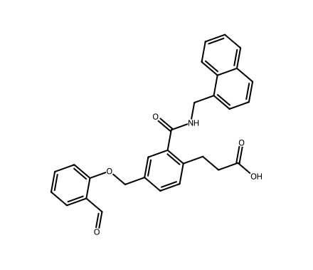 O=Cc1ccccc1OCc1ccc(CCC(=O)O)c(C(=O)NCc2cccc3ccccc23)c1